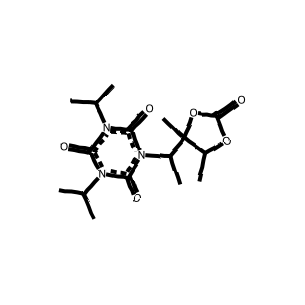 CC(C)n1c(=O)n(C(C)C)c(=O)n(C(C)C2(C)OC(=O)OC2C)c1=O